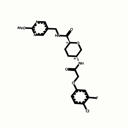 COc1ncc(CNC(=O)[C@@H]2CC[C@@H](NC(=O)COc3ccc(Cl)c(F)c3)CO2)cn1